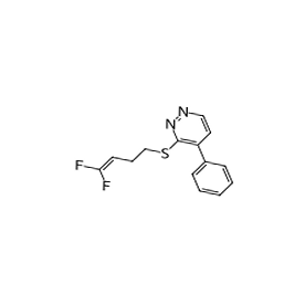 FC(F)=CCCSc1nnccc1-c1ccccc1